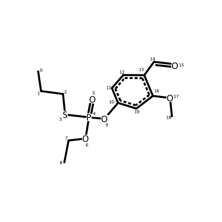 CCCSP(=O)(OCC)Oc1ccc(C=O)c(OC)c1